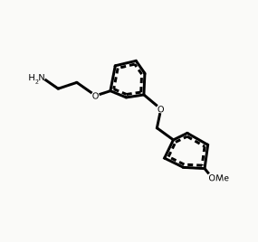 COc1ccc(COc2cccc(OCCN)c2)cc1